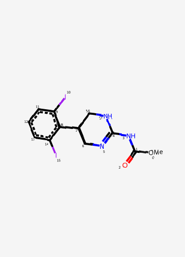 COC(=O)NC1=NCC(c2c(I)cccc2I)CN1